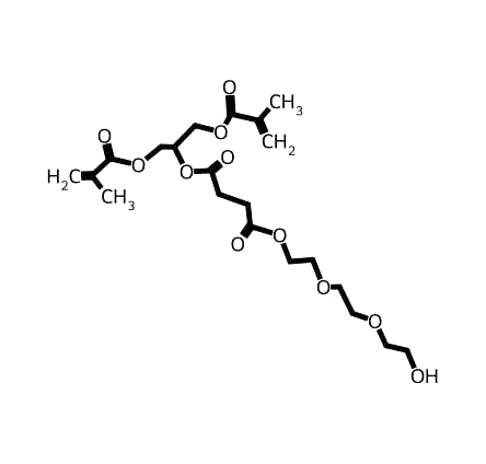 C=C(C)C(=O)OCC(COC(=O)C(=C)C)OC(=O)CCC(=O)OCCOCCOCCO